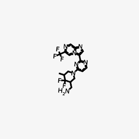 CC1CN(c2ccnc(-c3cnc4cnc(C(F)(F)F)cn34)n2)CC(CN)C1(F)F